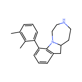 Cc1cccc(-c2cccc3c2N2CCNCCC2C3)c1C